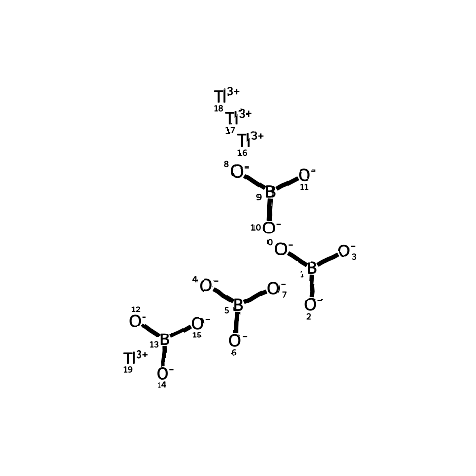 [O-]B([O-])[O-].[O-]B([O-])[O-].[O-]B([O-])[O-].[O-]B([O-])[O-].[Tl+3].[Tl+3].[Tl+3].[Tl+3]